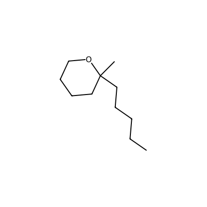 CCCCCC1(C)CCCCO1